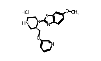 COc1ccc2nc(N3CCNC[C@@H]3COc3cccnc3)sc2c1.Cl